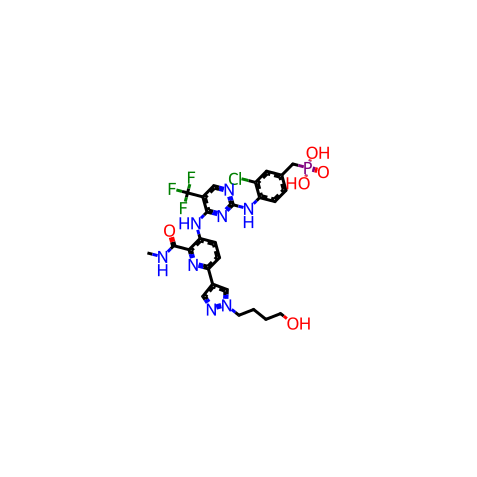 CNC(=O)c1nc(-c2cnn(CCCCO)c2)ccc1Nc1nc(Nc2ccc(CP(=O)(O)O)cc2Cl)ncc1C(F)(F)F